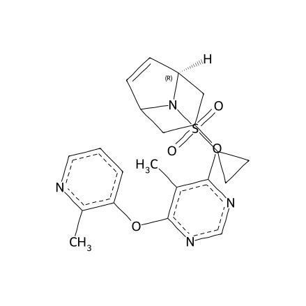 Cc1ncccc1Oc1ncnc(OC2CC3C=C[C@@H](C2)N3S(=O)(=O)C2CC2)c1C